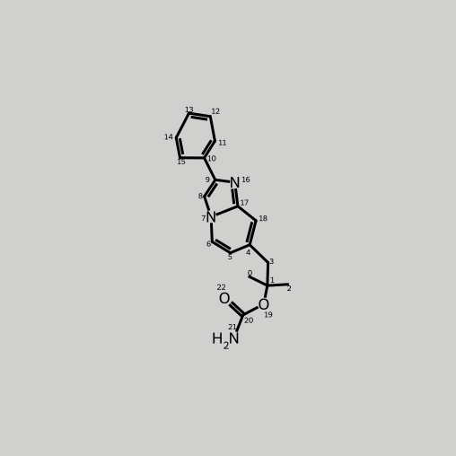 CC(C)(Cc1ccn2cc(-c3ccccc3)nc2c1)OC(N)=O